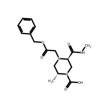 CNC(=O)[C@H]1CN(C(=O)O)[C@H](C)CN1CC(=O)OCc1ccccc1